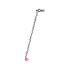 CCCCCCCCCCCCCCCCCCCCCCCCCCCCCCCCCCCCCCCCCCC1CO1